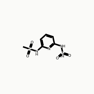 CS(=O)(=O)Nc1cccc(N[SH](=O)=O)n1